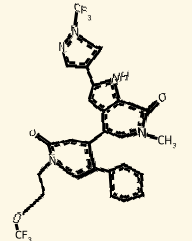 Cn1cc(-c2cc(=O)n(CCOC(F)(F)F)cc2-c2ccccc2)c2cc(-c3cnn(C(F)(F)F)c3)[nH]c2c1=O